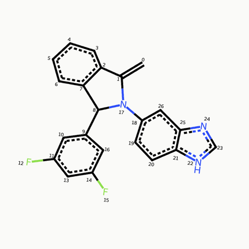 C=C1c2ccccc2C(c2cc(F)cc(F)c2)N1c1ccc2[nH]cnc2c1